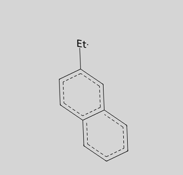 C[CH]c1ccc2ccccc2c1